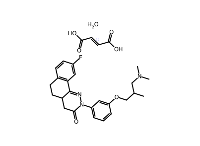 CC(COc1cccc(N2N=C3c4cc(F)ccc4CCC3CC2=O)c1)CN(C)C.O.O=C(O)/C=C/C(=O)O